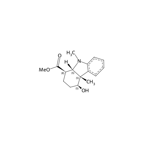 COC(=O)[C@@H]1CC[C@H](O)[C@@]2(C)c3ccccc3N(C)[C@@H]12